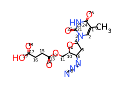 Cc1cn([C@H]2CC(N=[N+]=[N-])[C@@H](COC(=O)CCC(=O)O)O2)c(=O)[nH]c1=O